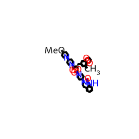 COC1CCN(C2CCN(C(=O)[C@@H](Cc3cc(C)c4c(c3)OCCO4)OC(=O)N3CCC(N4CCc5ccccc5NC4=O)CC3)CC2)CC1